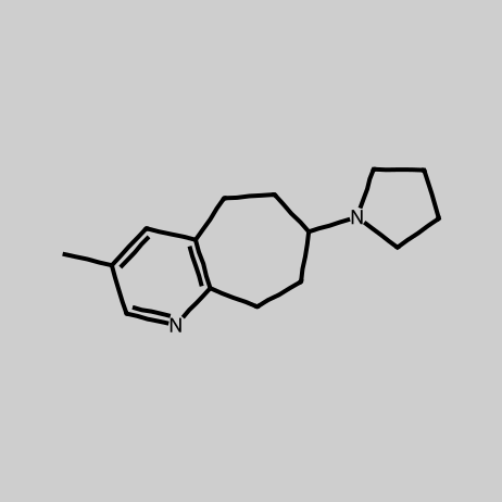 Cc1cnc2c(c1)CCC(N1CCCC1)CC2